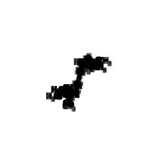 COC(=O)N[C@H](C(=O)N1CCC[C@H]1c1nc(-c2ccc(C#Cc3ccc(-c4cnc([C@@H]5CN(C(=O)OC)CN5C(=O)[C@@H](NC(=O)OC)C(C)C)[nH]4)cc3)cc2)c[nH]1)C(C)C